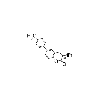 Cc1ccc(-c2ccc3c(c2)C[C@@H](C(C)C)C(=O)O3)cc1